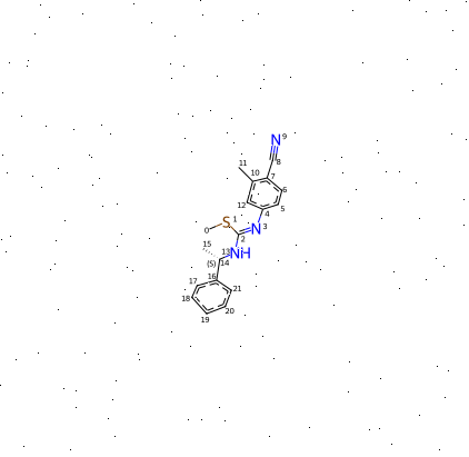 CSC(=Nc1ccc(C#N)c(C)c1)N[C@@H](C)c1ccccc1